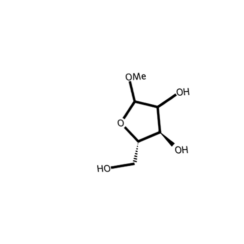 COC1O[C@@H](CO)[C@H](O)C1O